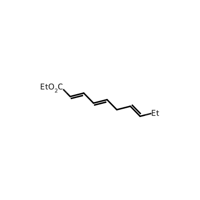 CC/C=C/C/C=C/C=C/C(=O)OCC